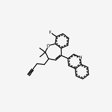 C#CCCC1C=C(c2cnc3ccccc3c2)c2cccc(F)c2OC1(C)C